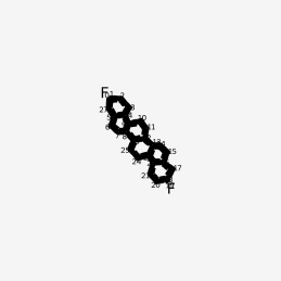 Fc1ccc2c(ccc3c2ccc2c4ccc5cc(F)ccc5c4ccc32)c1